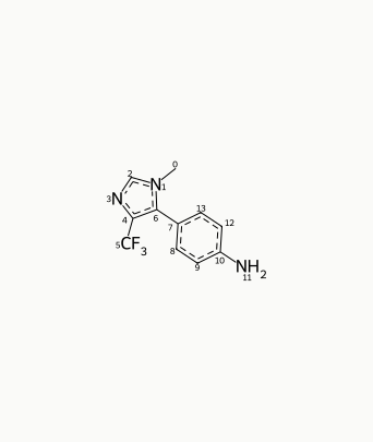 Cn1cnc(C(F)(F)F)c1-c1ccc(N)cc1